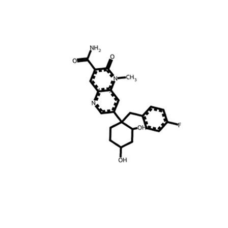 Cn1c(=O)c(C(N)=O)cc2ncc(C3(Cc4ccc(F)cc4)CCC(O)CC3O)cc21